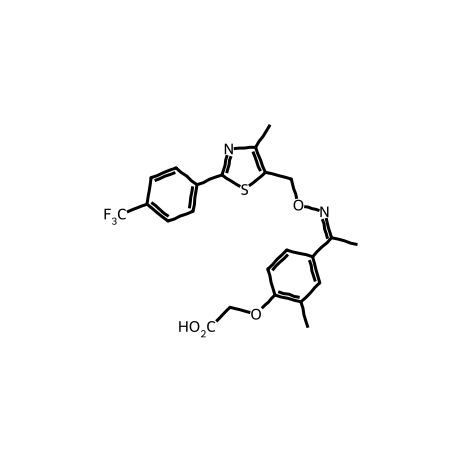 CC(=NOCc1sc(-c2ccc(C(F)(F)F)cc2)nc1C)c1ccc(OCC(=O)O)c(C)c1